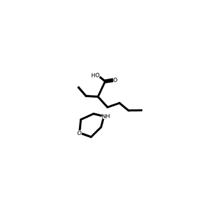 C1COCCN1.CCCCC(CC)C(=O)O